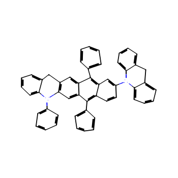 c1ccc(-c2c3cc(N4c5ccccc5Cc5ccccc54)ccc3c(-c3ccccc3)c3cc4c(cc23)Cc2ccccc2N4c2ccccc2)cc1